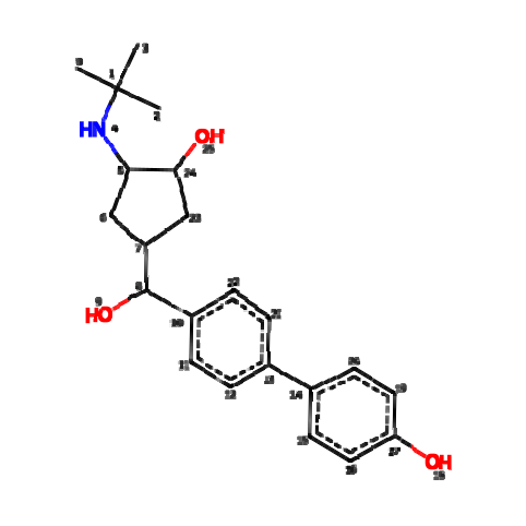 CC(C)(C)NC1CC(C(O)c2ccc(-c3ccc(O)cc3)cc2)CC1O